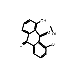 CO.O=C1c2cccc(O)c2C(=O)c2c(O)cccc21